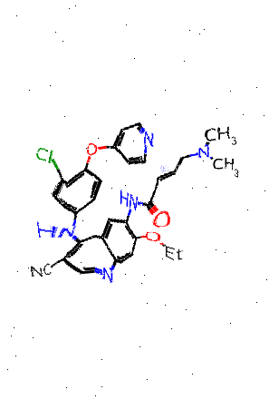 CCOc1cc2ncc(C#N)c(Nc3ccc(Oc4ccncc4)c(Cl)c3)c2cc1NC(=O)/C=C/CN(C)C